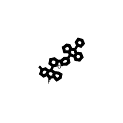 Cc1ccc2c(F)c3ccccc3c(-c3cccc4c3oc3ccc(-c5c6ccccc6c(-c6ccccc6)c6ccccc56)cc34)c2c1